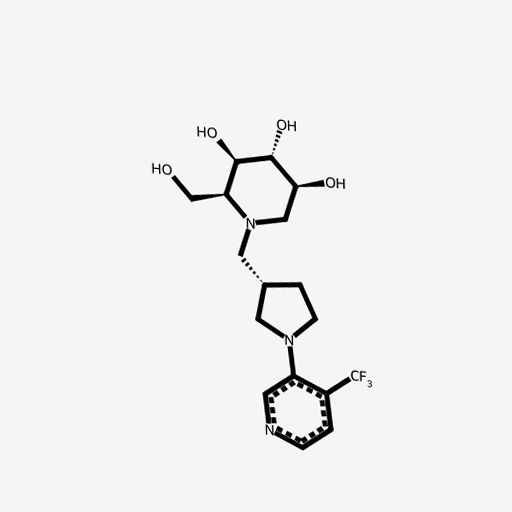 OC[C@H]1[C@@H](O)[C@H](O)[C@@H](O)CN1C[C@@H]1CCN(c2cnccc2C(F)(F)F)C1